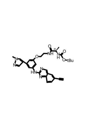 C#Cc1ccc2nc(Nc3cc(OCCNC(=O)[C@@H](C)NC(=O)OC(C)(C)C)cc(-c4cnn(C)c4)c3)ncc2c1